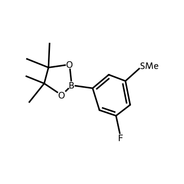 CSc1cc(F)cc(B2OC(C)(C)C(C)(C)O2)c1